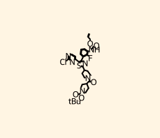 C=CCOC(=O)Nc1cccc(-c2nc(C3CCN(C(=O)C4CCN(C(=O)OC(C)(C)C)CC4)CC3)sc2-c2ccnc(Cl)n2)c1F